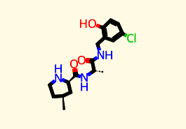 C[C@H]1CCN[C@@H](C(=O)N[C@@H](C)C(=O)NCc2cc(Cl)ccc2O)C1